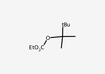 CCOC(=O)OC(C)(C)C(C)(C)C